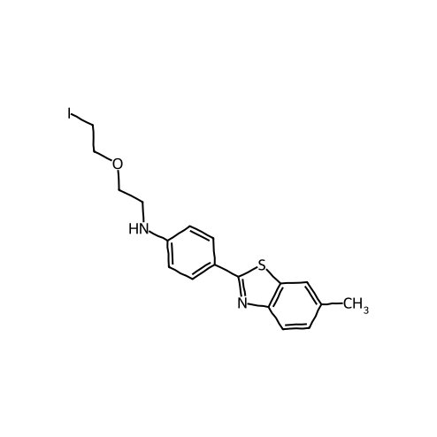 Cc1ccc2nc(-c3ccc(NCCOCCI)cc3)sc2c1